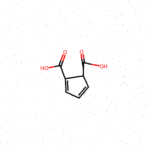 O=C(O)C1=CC=CC1C(=O)O